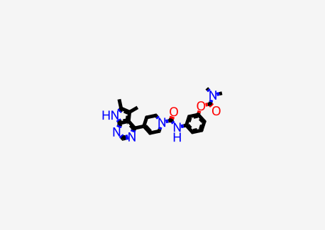 Cc1[nH]c2ncnc(C3=CCN(C(=O)Nc4cccc(OC(=O)N(C)C)c4)CC3)c2c1C